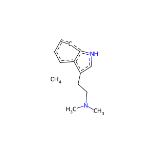 C.CN(C)CCc1c[nH]c2ccccc12